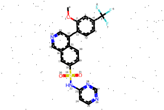 COc1cc(C(F)(F)F)ccc1-c1cncc2cc(S(=O)(=O)Nc3ccncn3)ccc12